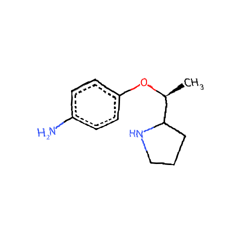 C[C@H](Oc1ccc(N)cc1)C1CCCN1